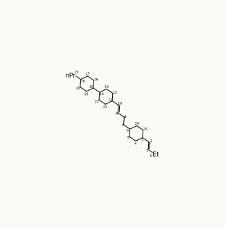 CCC=CC1CCC(CCC=CC2CCC(C3CCC(CCC)CC3)CC2)CC1